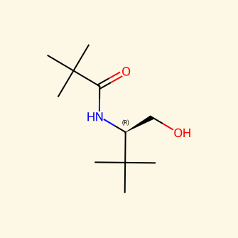 CC(C)(C)C(=O)N[C@@H](CO)C(C)(C)C